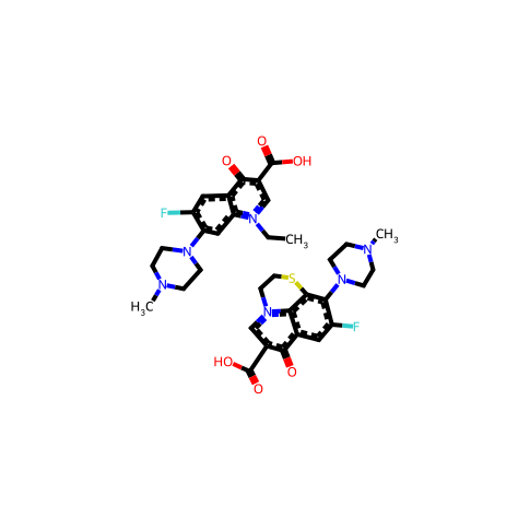 CCn1cc(C(=O)O)c(=O)c2cc(F)c(N3CCN(C)CC3)cc21.CN1CCN(c2c(F)cc3c(=O)c(C(=O)O)cn4c3c2SCC4)CC1